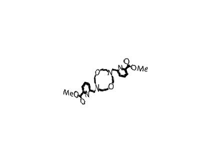 COC(=O)c1cccc(CN2CCOCCN(Cc3cccc(C(=O)OC)n3)CCOCC2)n1